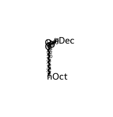 CCCCCCCCC=CCCCCCCCCCCCCOC(=O)OCCCCCCCCCCCC